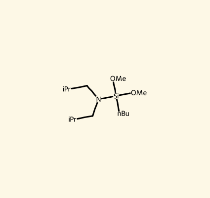 CCCC[Si](OC)(OC)N(CC(C)C)CC(C)C